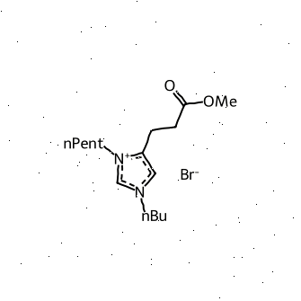 CCCCC[n+]1cn(CCCC)cc1CCC(=O)OC.[Br-]